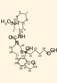 CNC[C@H](CC1CCCCC1)NC(=O)N1CCC[C@@H]([C@@](O)(CCCCOC)c2cccc3c2OCC3)C1